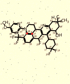 COc1cnc(N2CCC(c3nc4c(c(C5CCC(F)(F)CC5)c3C(F)c3ccc(C(F)(F)F)cc3)C(O)CC(C)(C)C4)CC2)nc1